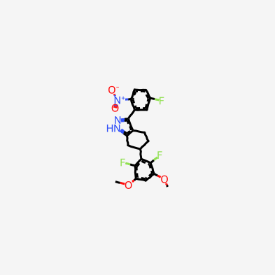 COc1cc(OC)c(F)c(C2CCc3c(-c4cc(F)ccc4[N+](=O)[O-])n[nH]c3C2)c1F